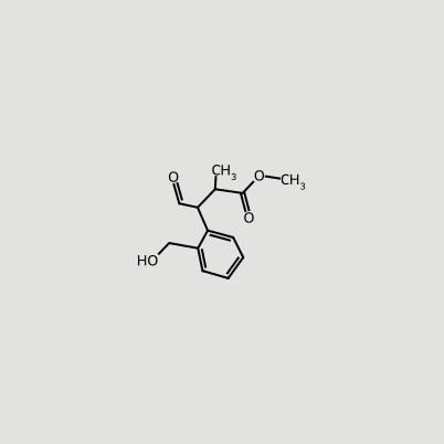 COC(=O)C(C)C(C=O)c1ccccc1CO